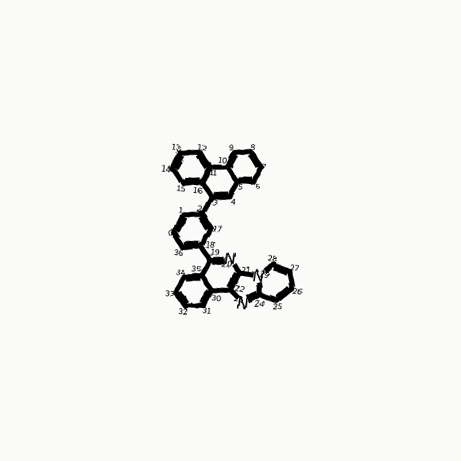 c1cc(-c2cc3ccccc3c3ccccc23)cc(-c2nc3c(nc4ccccn43)c3ccccc23)c1